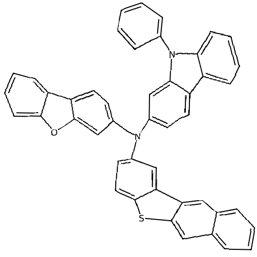 c1ccc(-n2c3ccccc3c3ccc(N(c4ccc5c(c4)oc4ccccc45)c4ccc5sc6cc7ccccc7cc6c5c4)cc32)cc1